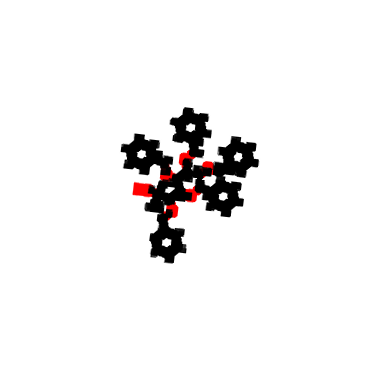 CCC(C)(O)C(OCc1ccccc1)C(OCc1ccccc1)C(OCc1ccccc1)[C@@H](COCc1ccccc1)OCc1ccccc1